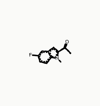 CC(=O)c1cc2cc(F)ccc2n1C